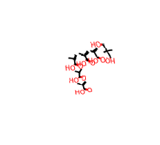 C=C(C)C(=O)O.C=C(C)C(=O)O.C=C(C)C(=O)O.C=C(C)C(=O)O.C=C(C)C(=O)O.CC(C)(CO)CO